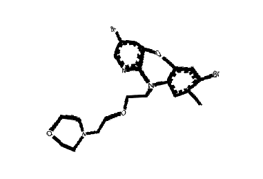 Cc1cc2c(cc1Br)Oc1cc(Br)cnc1N2CCOCCN1CCOCC1